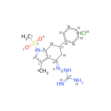 Cc1cn(S(C)(=O)=O)c2c1C(=NNC(=N)N)CC(c1ccccc1)C2.Cl